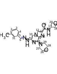 Cc1cccc(/C=N/Nc2cn3cc(C(=O)NC4COC4)nc3c(N3CCOCC3)n2)c1